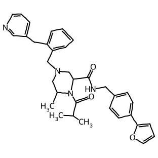 CC(C)C(=O)N1C(C)CN(Cc2ccccc2Cc2cccnc2)CC1C(=O)NCc1ccc(-c2ccco2)cc1